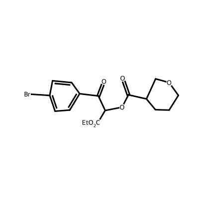 CCOC(=O)C(OC(=O)C1CCCOC1)C(=O)c1ccc(Br)cc1